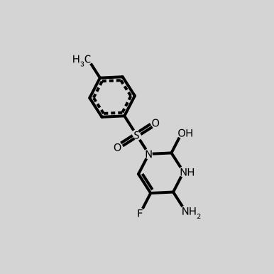 Cc1ccc(S(=O)(=O)N2C=C(F)C(N)NC2O)cc1